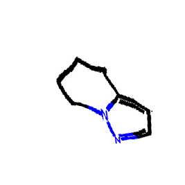 [c]1cnn2c1CCCC2